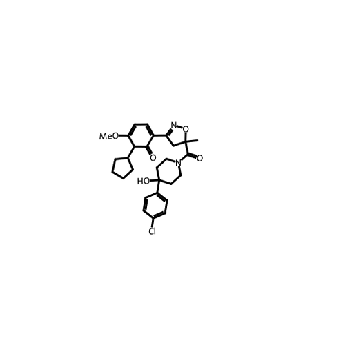 COC1=CC=C(C2=NOC(C)(C(=O)N3CCC(O)(c4ccc(Cl)cc4)CC3)C2)C(=O)C1C1CCCC1